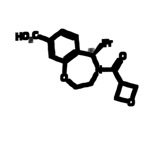 CC(C)[C@@H]1c2ccc(C(=O)O)cc2OCCN1C(=O)C1COC1